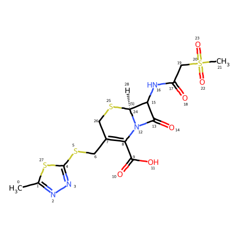 Cc1nnc(SCC2=C(C(=O)O)N3C(=O)C(NC(=O)CS(C)(=O)=O)[C@@H]3SC2)s1